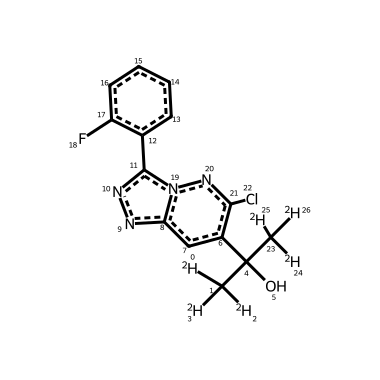 [2H]C([2H])([2H])C(O)(c1cc2nnc(-c3ccccc3F)n2nc1Cl)C([2H])([2H])[2H]